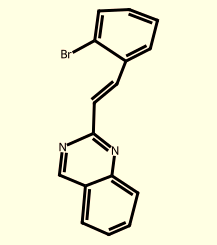 Brc1ccccc1C=Cc1ncc2ccccc2n1